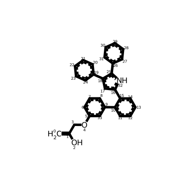 C=C(O)COc1cccc(-c2ccccc2-c2cc(-c3ccccc3)c(-c3ccccc3)[nH]2)c1